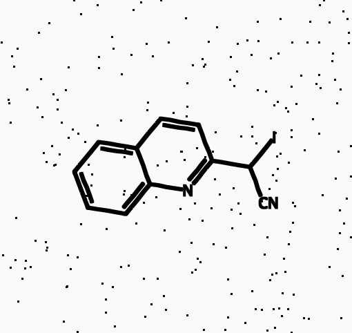 N#CC(I)c1ccc2ccccc2n1